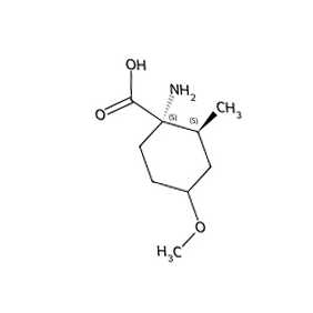 COC1CC[C@@](N)(C(=O)O)[C@@H](C)C1